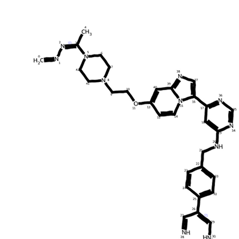 C=N/N=C(/C)N1CCN(CCOc2ccn3c(-c4cc(NCc5ccc(/C(C=N)=C/NC)cc5)ncn4)cnc3c2)CC1